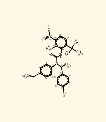 CCc1ccc(N(C(=O)Nc2c(C(C)(C)C)ccc([N+](=O)[O-])c2C)[C@@H](C)c2ccc(Cl)cc2)cc1